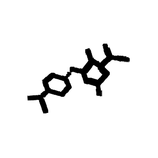 COC(=O)c1cc(Cl)cc(O[C@H]2CC[C@H](N(C)C)CC2)c1C